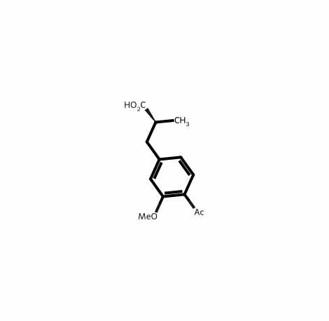 COc1cc(C[C@H](C)C(=O)O)ccc1C(C)=O